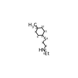 CCNCCSC1CCC(C)CC1